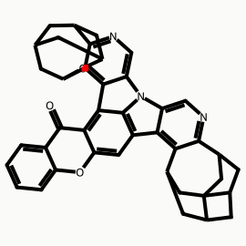 O=c1c2ccccc2oc2cc3c4c5c(ncc4n4c6cnc7c(c6c(c12)c34)C1CC2CC(CC7C2)C1)C1CC2CC3CC5CC23C1